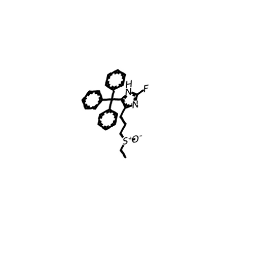 CC[S+]([O-])CCCc1nc(F)[nH]c1C(c1ccccc1)(c1ccccc1)c1ccccc1